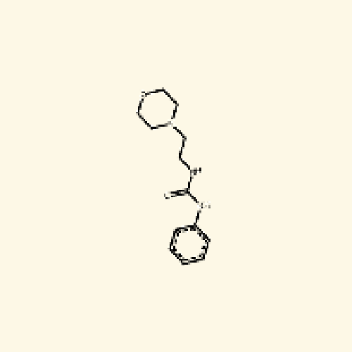 O=C(NCCN1CCOCC1)Nc1cc[c]cc1